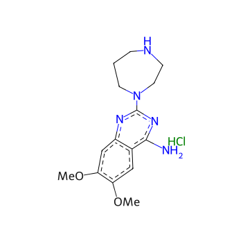 COc1cc2nc(N3CCCNCC3)nc(N)c2cc1OC.Cl